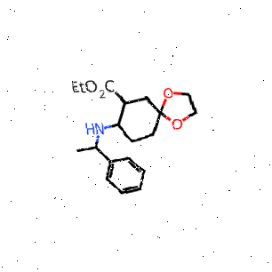 CCOC(=O)C1CC2(CCC1NC(C)c1ccccc1)OCCO2